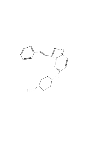 O[C@H]1CC[C@H](Oc2ccc3ncc(/C=C/c4ccccc4)n3n2)CC1